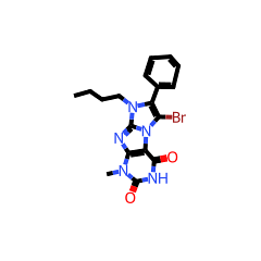 CCCCn1c(-c2ccccc2)c(Br)n2c3c(=O)[nH]c(=O)n(C)c3nc12